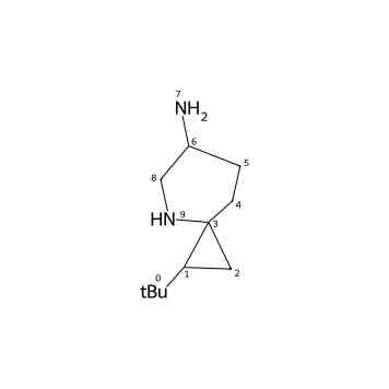 CC(C)(C)C1CC12CCC(N)CN2